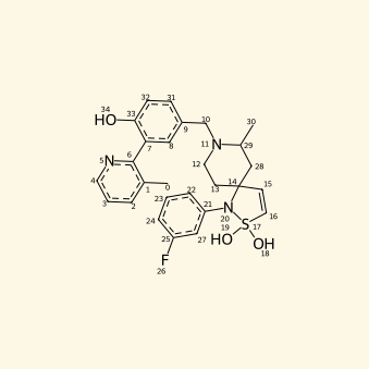 Cc1cccnc1-c1cc(CN2CCC3(C=CS(O)(O)N3c3cccc(F)c3)CC2C)ccc1O